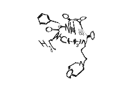 CN(C)C(=O)[C@H](Cc1ccccc1)NC(=O)[C@H]1O[C@@H]1C(=O)NCCCN1CCOCC1